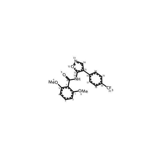 COc1cccc(OC)c1C(=O)Nc1oncc1-c1ccc(C(F)(F)F)cc1